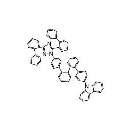 c1ccc(-c2ccccc2-c2nc(-c3ccccc3-c3ccccc3)n(-c3ccc(-c4ccccc4-c4ccccc4-c4ccc(-n5c6ccccc6c6ccccc65)cc4)cc3)n2)cc1